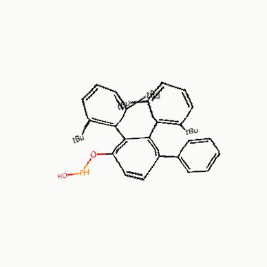 CC(C)(C)c1cccc(C(C)(C)C)c1-c1c(OPO)ccc(-c2ccccc2)c1-c1c(C(C)(C)C)cccc1C(C)(C)C